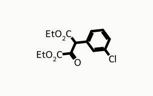 CCOC(=O)C(=O)C(C(=O)OCC)c1cccc(Cl)c1